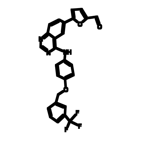 O=Cc1ccc(-c2ccc3ncnc(Nc4ccc(OCc5cccc(C(F)(F)F)c5)cc4)c3c2)o1